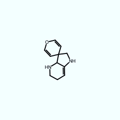 C1=CC2(C=CO1)CNC1=CCCNC12